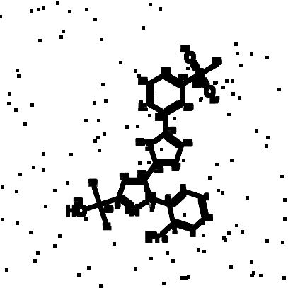 CC(C)c1ccccc1-n1nc(C(C)(C)O)cc1-c1ccc(-c2cccc(S(C)(=O)=O)c2)s1